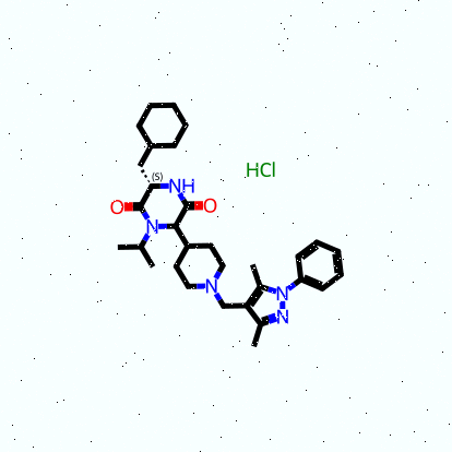 Cc1nn(-c2ccccc2)c(C)c1CN1CCC(C2C(=O)N[C@@H](CC3CCCCC3)C(=O)N2C(C)C)CC1.Cl